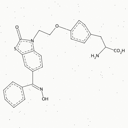 NC(Cc1ccc(OCCn2c(=O)sc3cc(C(=NO)c4ccccc4)ccc32)cc1)C(=O)O